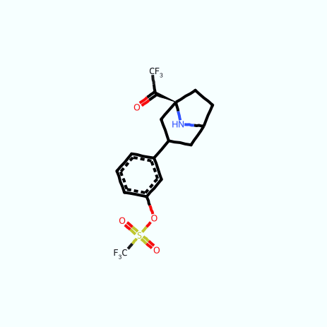 O=C(C(F)(F)F)[C@]12CCC(CC(c3cccc(OS(=O)(=O)C(F)(F)F)c3)C1)N2